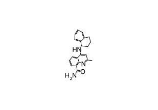 Cc1cc(N[C@H]2CCCc3ccccc32)c2cccc(C(N)=O)c2n1